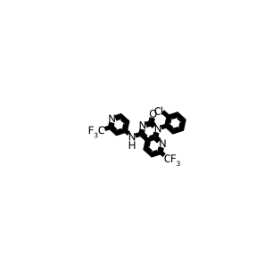 O=c1nc(Nc2ccnc(C(F)(F)F)c2)c2ccc(C(F)(F)F)nc2n1-c1ccccc1Cl